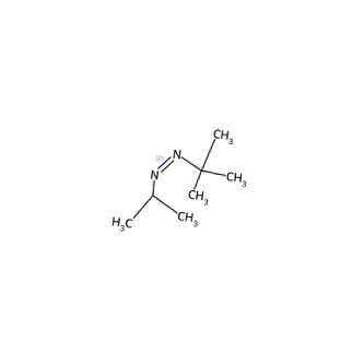 CC(C)/N=N\C(C)(C)C